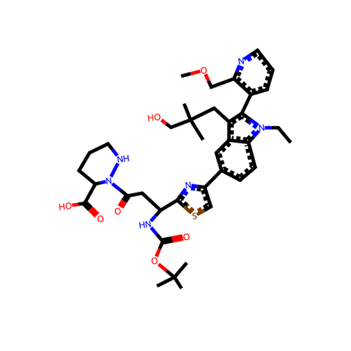 CCn1c(-c2cccnc2COC)c(CC(C)(C)CO)c2cc(-c3csc(C(CC(=O)N4NCCCC4C(=O)O)NC(=O)OC(C)(C)C)n3)ccc21